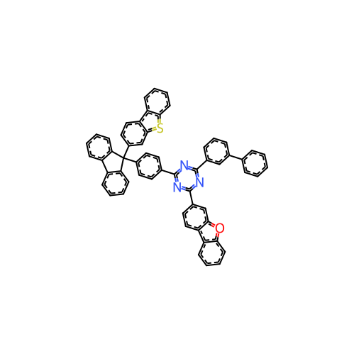 c1ccc(-c2cccc(-c3nc(-c4ccc(C5(c6ccc7c(c6)sc6ccccc67)c6ccccc6-c6ccccc65)cc4)nc(-c4ccc5c(c4)oc4ccccc45)n3)c2)cc1